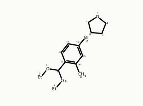 C1CCOC1.CCOC(OCC)c1ccc(Br)cc1C